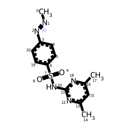 C/N=N/c1ccc(S(=O)(=O)Nc2nc(C)cc(C)n2)cc1